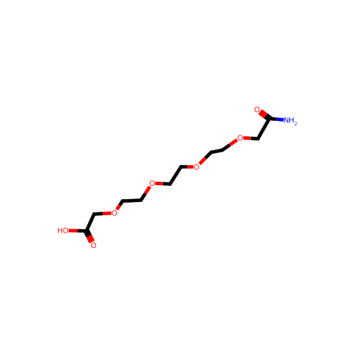 NC(=O)COCCOCCOCCOCC(=O)O